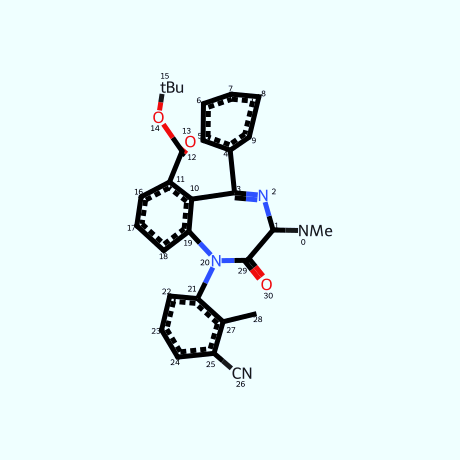 CNC1N=C(c2ccccc2)c2c(C(=O)OC(C)(C)C)cccc2N(c2cccc(C#N)c2C)C1=O